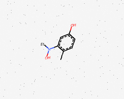 CCN(O)c1cc(O)ccc1C